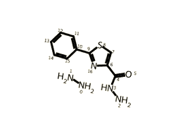 NN.NNC(=O)c1csc(-c2ccccc2)n1